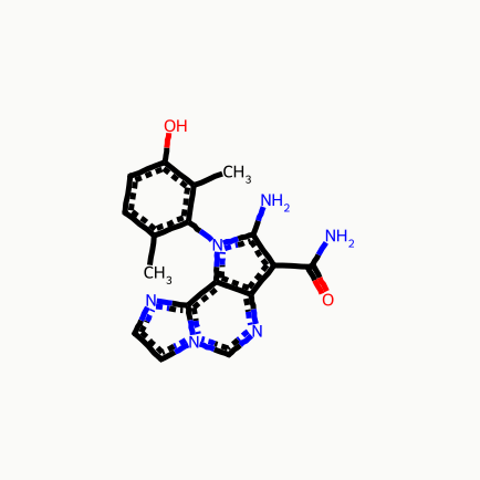 Cc1ccc(O)c(C)c1-n1c(N)c(C(N)=O)c2ncn3ccnc3c21